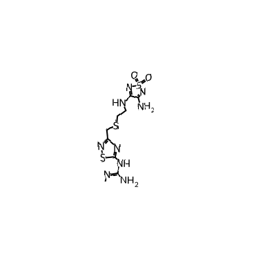 CN=C(N)Nc1nc(CSCCNC2=NS(=O)(=O)N=C2N)ns1